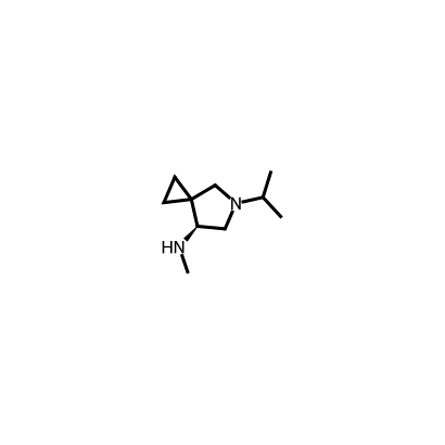 CN[C@@H]1CN(C(C)C)CC12CC2